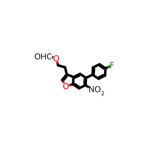 O=COCCc1coc2cc([N+](=O)[O-])c(-c3ccc(F)cc3)cc12